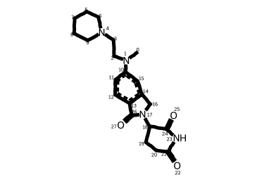 CN(CCN1CCCCC1)c1ccc2c(c1)CN(C1CCC(=O)NC1=O)C2=O